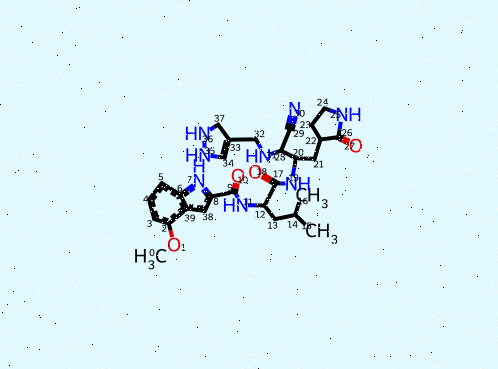 COc1cccc2[nH]c(C(=O)NC(CC(C)C)C(=O)NC(CC3CCNC3=O)C(C#N)NCC3=CNNC3)cc12